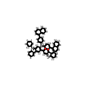 c1ccc(-n2c3ccccc3c3cc(-c4ccc5c(c4)sc4ccccc45)c(N(c4ccc(-c5cccc6ccccc56)cc4)c4ccc(-c5cccc6ccccc56)cc4)cc32)cc1